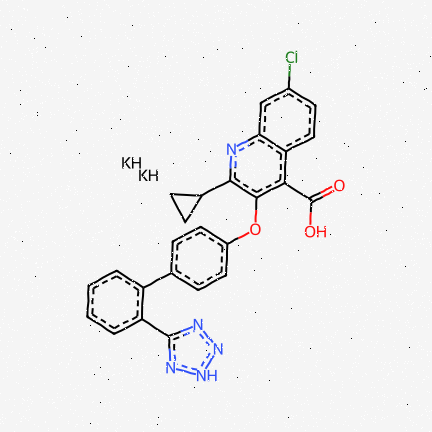 O=C(O)c1c(Oc2ccc(-c3ccccc3-c3nn[nH]n3)cc2)c(C2CC2)nc2cc(Cl)ccc12.[KH].[KH]